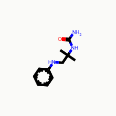 CC(C)(CNc1ccccc1)NC(N)=O